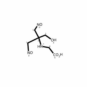 O=NCC(CO)(CN=O)NCC(=O)O